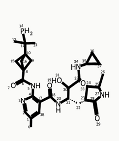 Cc1cnc(NC(=O)C23CC(C(C)(C)P)(C2)C3)c(C(=O)N[C@@H](C[C@@H]2CC(C)NC2=O)C(O)C(=O)NC2CC2)c1